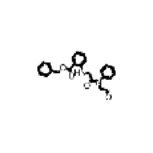 O=[C]CN(C(=O)CNc1ccccc1C(=O)OCc1ccccc1)c1ccccc1